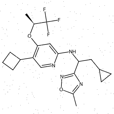 Cc1nc(C(CC2CC2)Nc2cc(O[C@@H](C)C(F)(F)F)c(C3CCC3)cn2)no1